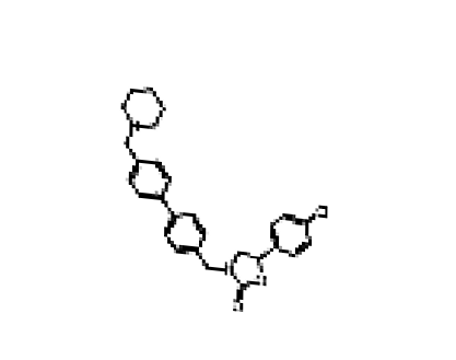 O=C1OC(c2ccc(Cl)cc2)CN1Cc1ccc(-c2ccc(CN3CCCCC3)cc2)cc1